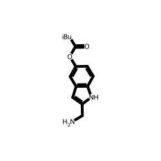 CCC(C)C(=O)Oc1ccc2[nH]c(CN)cc2c1